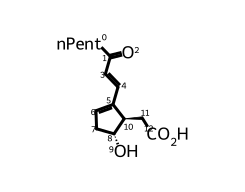 CCCCCC(=O)C=CC1=CC[C@@H](O)[C@@H]1CC(=O)O